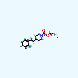 C=COC(=O)N1CCC(C=Cc2ccccc2F)CC1